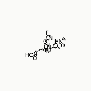 Cc1cc(-c2cnc3c(NCC4CN(C(=O)O)C4)cc(Oc4cncc(F)c4)nn23)ccc1C(=O)NC1CC1